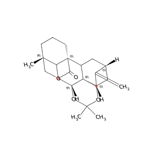 C=C1[C@H]2CC[C@@]34C(C2)[C@@]25CCC[C@@](C)(COC2=O)C5C[C@H]3OC(C)(C)O[C@@H]14